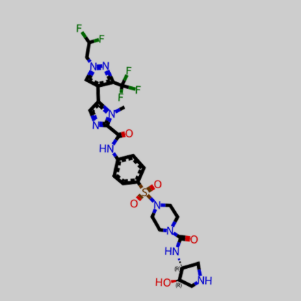 Cn1c(-c2cn(CC(F)F)nc2C(F)(F)F)cnc1C(=O)Nc1ccc(S(=O)(=O)N2CCN(C(=O)N[C@@H]3CNC[C@H]3O)CC2)cc1